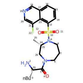 CCCC[C@H](N)C(=O)N1CCCN(S(=O)(=O)c2cccc3cncc(F)c23)[C@@H](C)C1